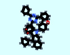 c1ccc(-c2nc(-c3ccccc3)nc(-c3cccc4oc5ccc(-n6c7ccccc7c7c(-c8ccccc8)c8ccccc8cc76)cc5c34)n2)cc1